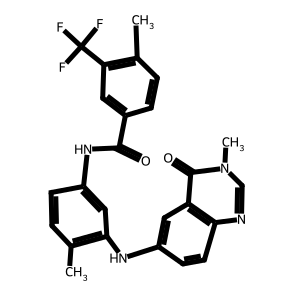 Cc1ccc(NC(=O)c2ccc(C)c(C(F)(F)F)c2)cc1Nc1ccc2ncn(C)c(=O)c2c1